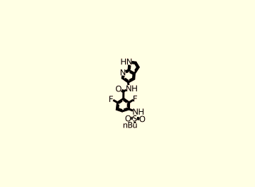 CCCCS(=O)(=O)Nc1ccc(F)c(C(=O)Nc2cnc3[nH]ccc3c2)c1F